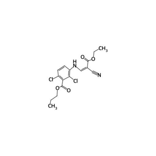 CCCOC(=O)c1c(Cl)ccc(NC=C(C#N)C(=O)OCC)c1Cl